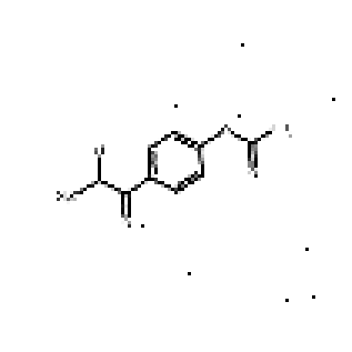 CC(=O)Oc1ccc(C(=O)C(C)Cl)cc1